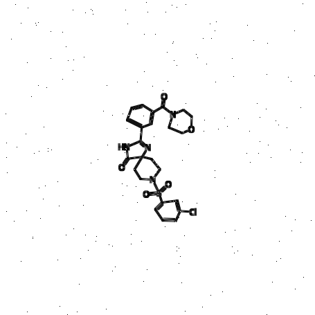 O=C(c1cccc(C2=NC3(CCN(S(=O)(=O)c4cccc(Cl)c4)CC3)C(=O)N2)c1)N1CCOCC1